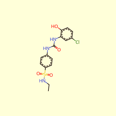 CCNS(=O)(=O)c1ccc(NC(=O)Nc2cc(Cl)ccc2O)cc1